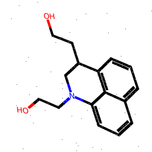 OCCC1CN(CCO)c2cccc3cccc1c23